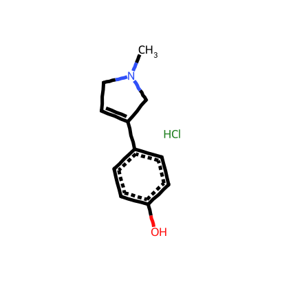 CN1CC=C(c2ccc(O)cc2)C1.Cl